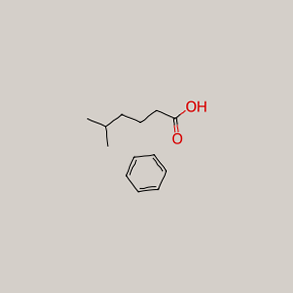 CC(C)CCCC(=O)O.c1ccccc1